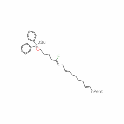 CCCCCC=CCCCCC=CCC=C(F)CCCCO[Si](c1ccccc1)(c1ccccc1)C(C)(C)C